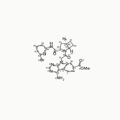 COC(=O)c1ccc2c3c(N)ncnc3n(CC(=O)N3[C@@H]4CC[C@@H]4C[C@H]3C(=O)Nc3cccc(Br)n3)c2c1